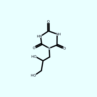 O=c1[nH]c(=O)n(CC(O)CO)c(=O)[nH]1